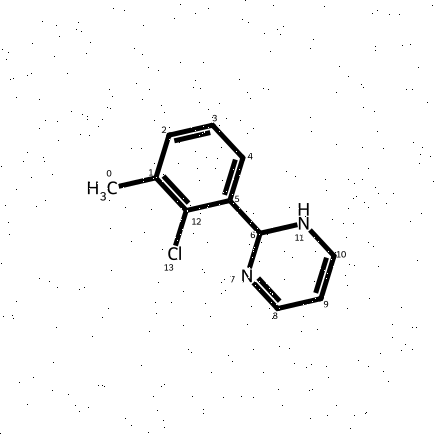 Cc1cccc(C2N=CC=CN2)c1Cl